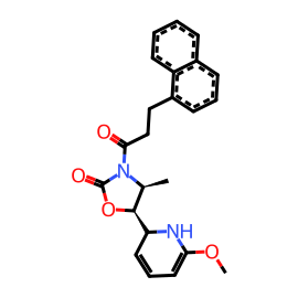 COC1=CC=CC([C@H]2OC(=O)N(C(=O)CCc3cccc4ccccc34)[C@H]2C)N1